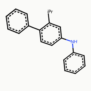 CC(C)c1cc(Nc2ccccc2)ccc1-c1ccccc1